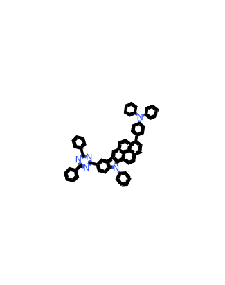 c1ccc(-c2nc(-c3ccccc3)nc(-c3ccc4c(c3)c3cc5ccc6c(-c7ccc(N(c8ccccc8)c8ccccc8)cc7)ccc7ccc(c5c76)c3n4-c3ccccc3)n2)cc1